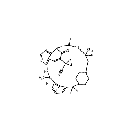 C[C@H]1Nc2ncnc3c2cc(C2(C#N)CC2)c(=O)n3CC(=O)NCC(C)(F)CN2CCC(CC2)C(F)(F)c2cccc1c2F